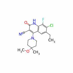 CCc1cc2c(N3CCC(C)(OC)CC3)c(C#N)c(=O)[nH]c2c(F)c1Cl